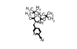 CC(C)(C)OC(=O)N[C@@H](Cc1ccc(C#N)nc1)C(=O)OC(C)(C)C